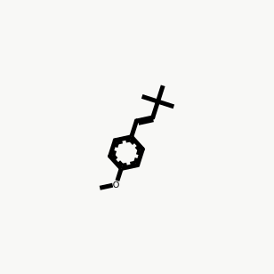 COc1ccc(C=CC(C)(C)C)cc1